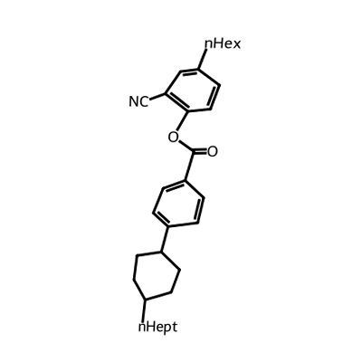 CCCCCCCC1CCC(c2ccc(C(=O)Oc3ccc(CCCCCC)cc3C#N)cc2)CC1